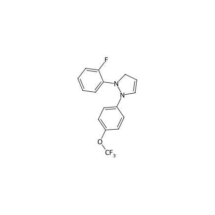 Fc1ccccc1N1CC=CN1c1ccc(OC(F)(F)F)cc1